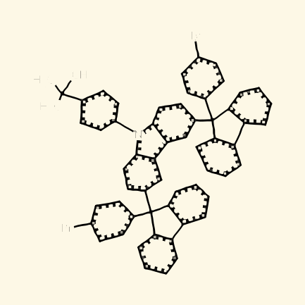 CC(C)(C)c1ccc(-n2c3ccc(C4(c5ccc(Br)cc5)c5ccccc5-c5ccccc54)cc3c3cc(C4(c5ccc(Br)cc5)c5ccccc5-c5ccccc54)ccc32)cc1